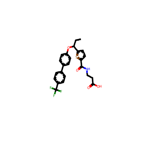 CCC(Oc1ccc(-c2ccc(C(F)(F)F)cc2)cc1)c1ccc(C(=O)NCCC(=O)O)s1